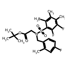 Bc1c(C)c(C)c(F)c(F)c1S(=O)(=O)N(CC(=O)OC(C)(C)C)Cc1ccc(F)cc1C